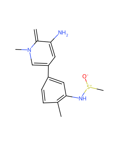 C=C1C(N)=CC(c2ccc(C)c(N[S+](C)[O-])c2)=CN1C